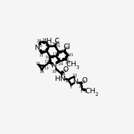 C=CC(=O)N1CC(NC(=O)Cn2c(C3CC3)c3c4c(c(Cl)cc(C)c42)C(C)c2ccncc2-3)C1